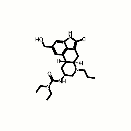 CCCN1C[C@@H](NC(=O)N(CC)CC)C[C@@H]2c3cc(CO)cc4[nH]c(Cl)c(c34)C[C@H]21